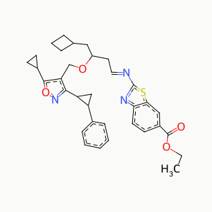 CCOC(=O)c1ccc2nc(/N=C/CC(CC3CCC3)OCc3c(C4CC4c4ccccc4)noc3C3CC3)sc2c1